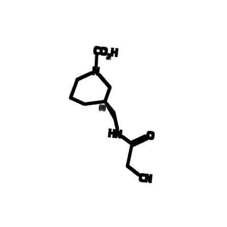 N#CCC(=O)NC[C@H]1CCCN(C(=O)O)C1